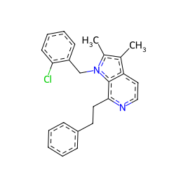 Cc1c(C)n(Cc2ccccc2Cl)c2c(CCc3ccccc3)nccc12